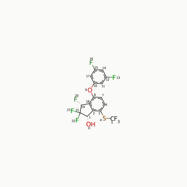 O[C@H]1c2c(SC(F)(F)F)ccc(Oc3cc(F)cc(F)c3)c2[C@@H](F)C1(F)F